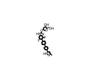 Cc1cc(-c2ccc(-c3ccc(-c4c(F)cc5[nH]c(O[C@H]6CO[C@H](CO)[C@@H](O)C6)nc5c4F)cc3)cc2)[nH]n1